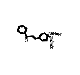 [N-]=[N+]=NC1(N=[N+]=[N-])C=CC(C=CC(=O)c2ccccc2)=CC1